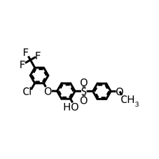 COc1ccc(S(=O)(=O)c2ccc(Oc3ccc(C(F)(F)F)cc3Cl)cc2O)cc1